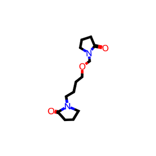 O=C1CCCN1CCCCOCN1CCCC1=O